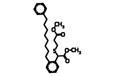 COC(=O)CCSC(C(=O)OC)c1ccccc1CCCCCCCCc1ccccc1